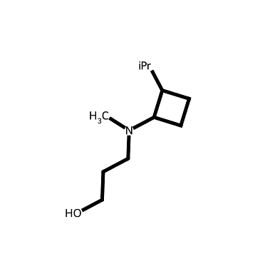 CC(C)C1CCC1N(C)CCCO